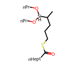 CCCCCCCC(=O)SCCCC(C)[SiH](OCCC)OCCC